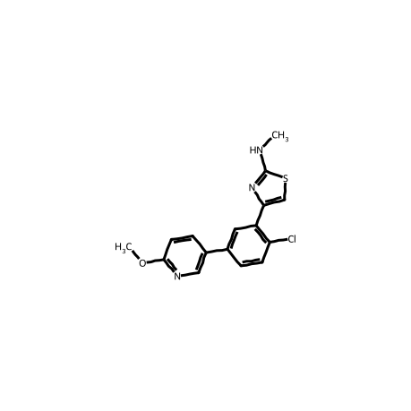 CNc1nc(-c2cc(-c3ccc(OC)nc3)ccc2Cl)cs1